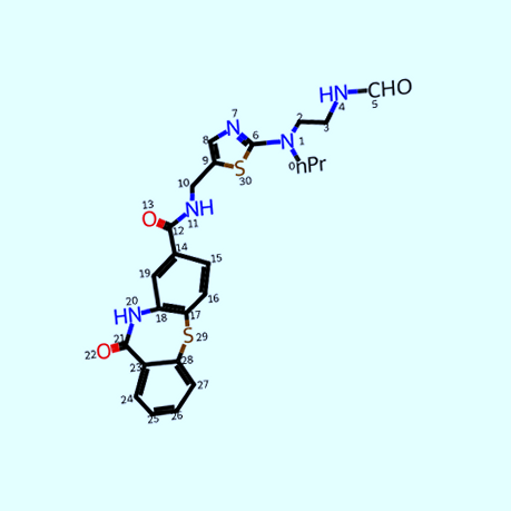 CCCN(CCNC=O)c1ncc(CNC(=O)c2ccc3c(c2)NC(=O)c2ccccc2S3)s1